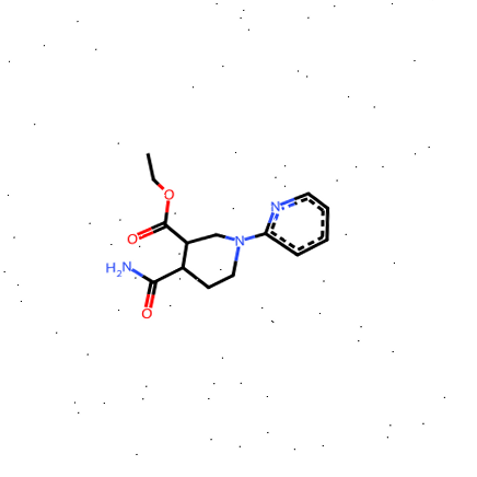 CCOC(=O)C1CN(c2ccccn2)CCC1C(N)=O